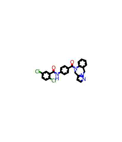 O=C(Nc1ccc(C(=O)N2Cc3ccnn3Cc3ccccc32)cc1)c1cc(Cl)ccc1Cl